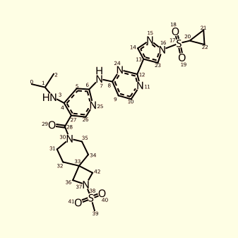 CC(C)Nc1cc(Nc2ccnc(-c3cnn(S(=O)(=O)C4CC4)c3)n2)ncc1C(=O)N1CCC2(CC1)CN(S(C)(=O)=O)C2